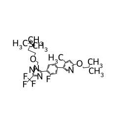 Cc1cc(OCC(C)C)ncc1-c1ccc(-c2nc(C(F)(F)F)nn2COCC[Si](C)(C)C)c(F)c1